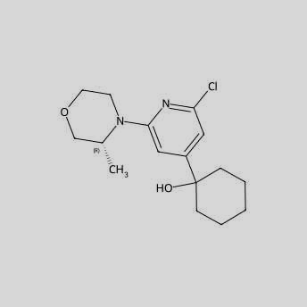 C[C@@H]1COCCN1c1cc(C2(O)CCCCC2)cc(Cl)n1